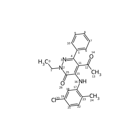 CCn1nc(-c2ccccc2)c(C(C)=O)c(Nc2cc(Cl)ccc2C)c1=O